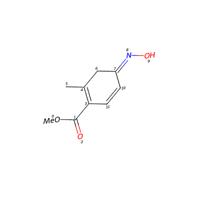 COC(=O)C1=C(C)CC(=NO)C=C1